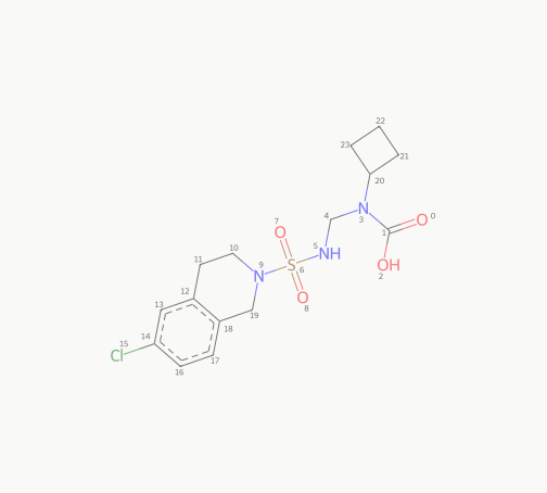 O=C(O)N(CNS(=O)(=O)N1CCc2cc(Cl)ccc2C1)C1CCC1